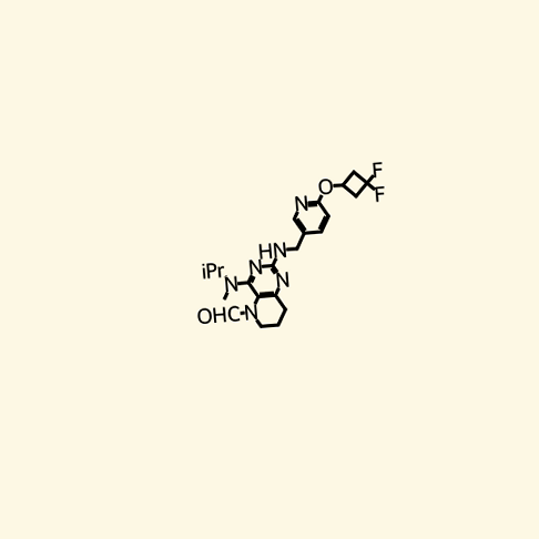 CC(C)N(C)c1nc(NCc2ccc(OC3CC(F)(F)C3)nc2)nc2c1N(C=O)CCC2